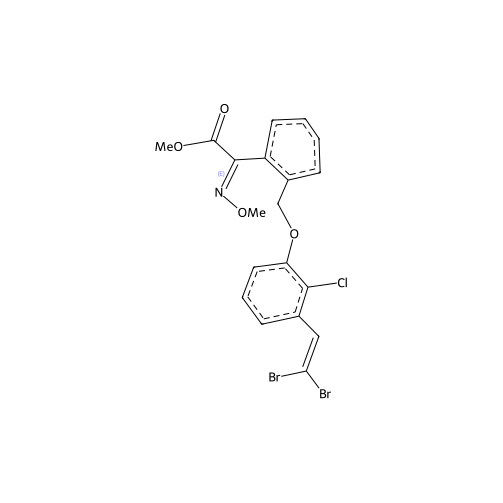 CO/N=C(/C(=O)OC)c1ccccc1COc1cccc(C=C(Br)Br)c1Cl